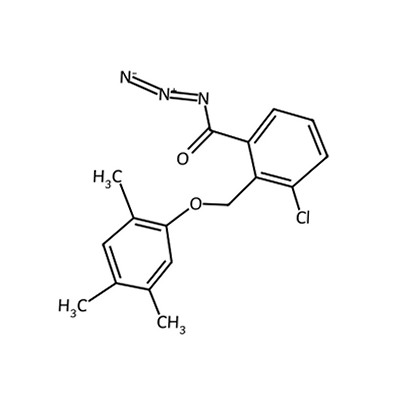 Cc1cc(C)c(OCc2c(Cl)cccc2C(=O)N=[N+]=[N-])cc1C